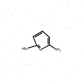 CCCCc1cccc(N)n1